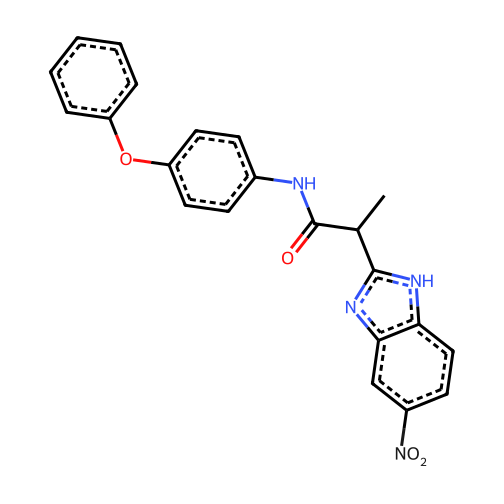 CC(C(=O)Nc1ccc(Oc2ccccc2)cc1)c1nc2cc([N+](=O)[O-])ccc2[nH]1